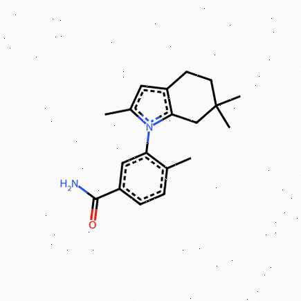 Cc1ccc(C(N)=O)cc1-n1c(C)cc2c1CC(C)(C)CC2